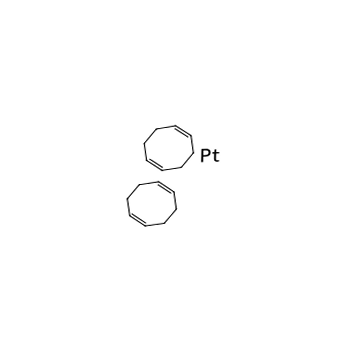 C1=CCCC=CCC1.C1=CCCC=CCC1.[Pt]